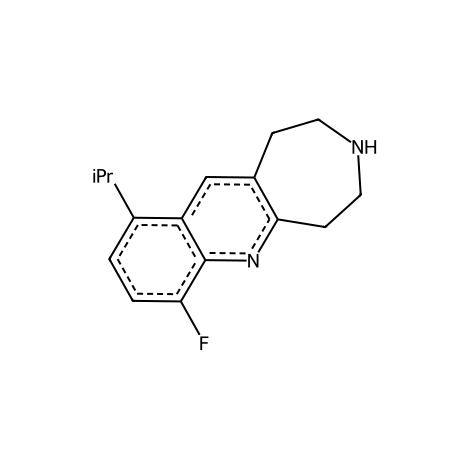 CC(C)c1ccc(F)c2nc3c(cc12)CCNCC3